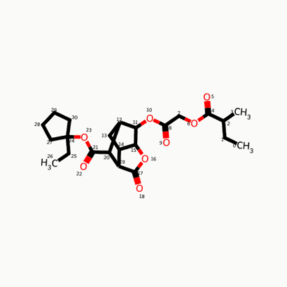 CCC(C)C(=O)OCC(=O)OC1C2CC3C1OC(=O)C3C2C(=O)OC1(CC)CCCC1